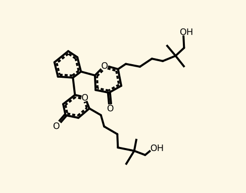 CC(C)(CO)CCCCc1cc(=O)cc(-c2ccccc2-c2cc(=O)cc(CCCCC(C)(C)CO)o2)o1